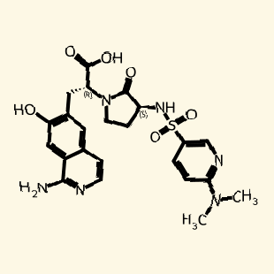 CN(C)c1ccc(S(=O)(=O)N[C@H]2CCN([C@H](Cc3cc4ccnc(N)c4cc3O)C(=O)O)C2=O)cn1